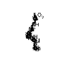 O=[N+]([O-])c1ccc(CCNCc2ccc(-c3ccc4ncnc(Nc5ccc(OCc6cccc(F)c6)c(Cl)c5)c4c3)o2)cc1